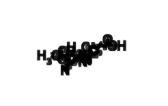 Cc1cc(CCC(=O)O)ccc1-n1nnc(-c2ccc(OC(C)C)c(C#N)c2)n1